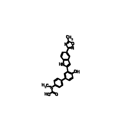 Cc1nc(-c2ccc3[nH]c(-c4cc(-c5ccc(N(C)C(=O)O)cc5)ccc4O)cc3c2)no1